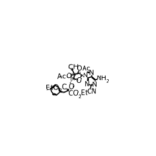 C#C[C@@]1(OC(C)=O)[C@@H](COC(Cc2ccccc2)(C(=O)OCC)C(=O)OCC)O[C@@H](n2cnc3c(N)nc(C#N)nc32)[C@@H]1OC(C)=O